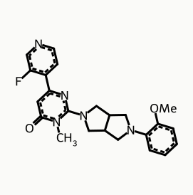 COc1ccccc1N1CC2CN(c3nc(-c4ccncc4F)cc(=O)n3C)CC2C1